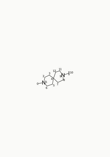 CN1CCC2(CC1)CCN(I)CC2